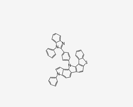 c1ccc(-n2ccc3c2ccc2c4ccc5sc6ccccc6c5c4n(-c4ccc(-c5nc6ccccc6n5-c5ccccc5)cc4)c23)cc1